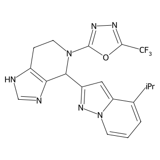 CC(C)c1cccn2nc(C3c4nc[nH]c4CCN3c3nnc(C(F)(F)F)o3)cc12